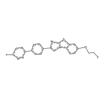 FCCOc1ccc2c(c1)sc1nc(-c3ccc(-c4ccc(I)nn4)cc3)cn12